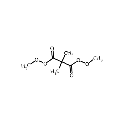 COOC(=O)C(C)(C)C(=O)OOC